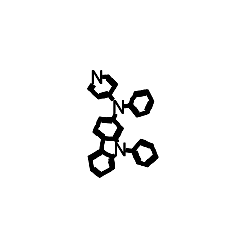 c1ccc(N(c2ccncc2)c2ccc3c4ccccc4n(-c4ccccc4)c3c2)cc1